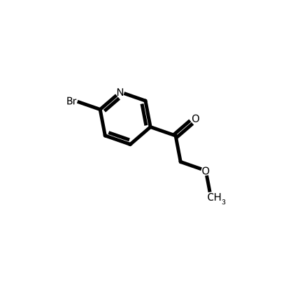 COCC(=O)c1ccc(Br)nc1